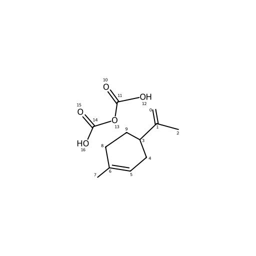 C=C(C)C1CC=C(C)CC1.O=C(O)OC(=O)O